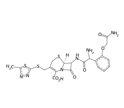 Cc1nnc(SCC2=C(C(=O)O)N3C(=O)C(NC(=O)C(N)c4ccccc4OCC(N)=O)[C@@H]3SC2)s1